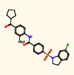 O=C(Nc1ccc(C(=O)C2CCCC2)cc1C(=O)O)c1ccc(S(=O)(=O)N2CCc3ccc(Cl)cc32)cc1